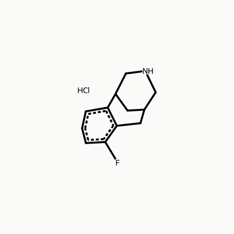 Cl.Fc1cccc2c1CC1CNCC2C1